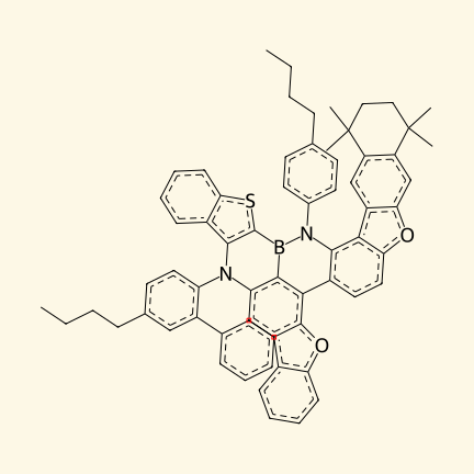 CCCCc1ccc(N2B3c4sc5ccccc5c4N(c4ccc(CCCC)cc4-c4ccccc4)c4cc5c(oc6ccccc65)c(c43)-c3ccc4oc5cc6c(cc5c4c32)C(C)(C)CCC6(C)C)cc1